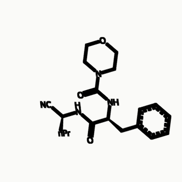 CCC[C@@H](C#N)NC(=O)[C@H](Cc1ccccc1)NC(=O)N1CCOCC1